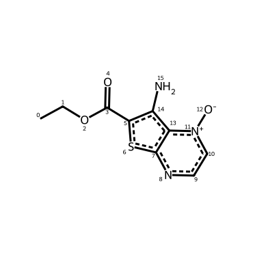 CCOC(=O)c1sc2ncc[n+]([O-])c2c1N